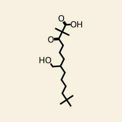 CC(C)(C)CCCCC(CO)CCCC(=O)C(C)(C)C(=O)O